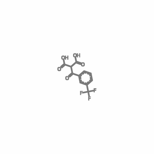 O=C(O)C(C(=O)O)C(=O)c1cccc(C(F)(F)F)c1